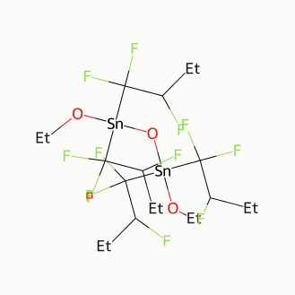 CC[O][Sn]([O][Sn]([O]CC)([C](F)(F)C(F)CC)[C](F)(F)C(F)CC)([C](F)(F)C(F)CC)[C](F)(F)C(F)CC